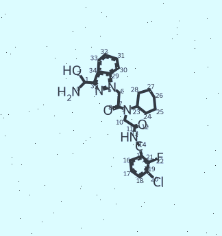 NC(O)c1nn(CC(=O)N(CC(=O)NCc2cccc(Cl)c2F)C2CCCCC2)c2ccccc12